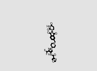 O=C1CCN(N2C(=O)c3ccc(CN4CCC(n5cc(NC(=O)c6cocn6)c(C(F)F)n5)CC4)cc3C2=O)C(=O)N1